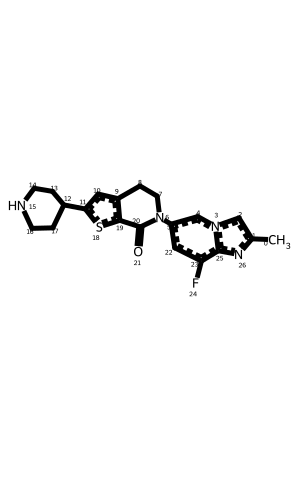 Cc1cn2cc(N3CCc4cc(C5CCNCC5)sc4C3=O)cc(F)c2n1